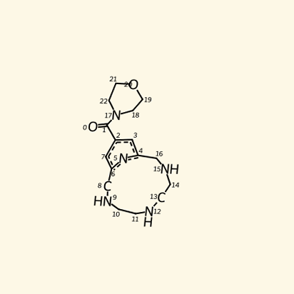 O=C(c1cc2nc(c1)CNCCNCCNC2)N1CCOCC1